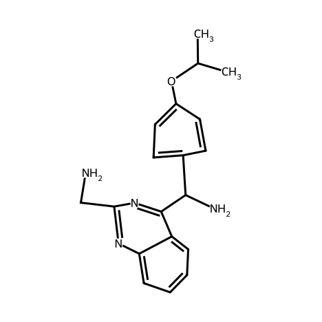 CC(C)Oc1ccc(C(N)c2nc(CN)nc3ccccc23)cc1